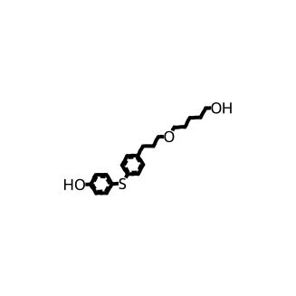 OCCCCCOCCCc1ccc(Sc2ccc(O)cc2)cc1